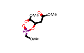 COC[PH](=O)OC(CC(=O)OC)C(=O)OC